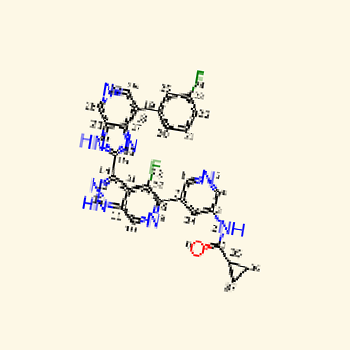 O=C(Nc1cncc(-c2ncc3[nH]nc(-c4nc5c(-c6cccc(F)c6)cncc5[nH]4)c3c2F)c1)C1CC1